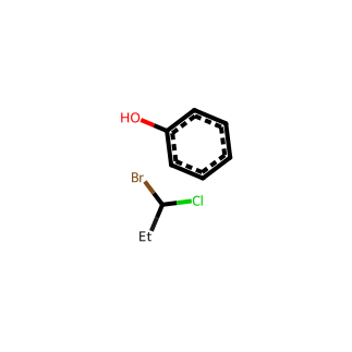 CCC(Cl)Br.Oc1ccccc1